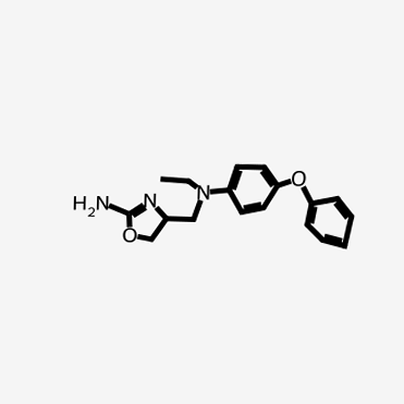 CCN(CC1COC(N)=N1)c1ccc(Oc2ccccc2)cc1